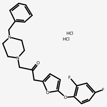 Cl.Cl.O=C(Cc1ccc(Oc2ccc(F)cc2F)o1)CN1CCN(Cc2ccccc2)CC1